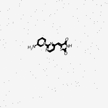 N[C@H]1CCCN(c2nccc(/C=C3\SC(=O)NC3=O)n2)C1